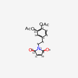 CC(=O)Oc1ccc(CCN2C(=O)C=CC2=O)cc1OC(C)=O